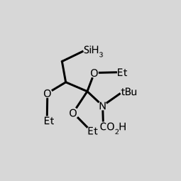 CCOC(C[SiH3])C(OCC)(OCC)N(C(=O)O)C(C)(C)C